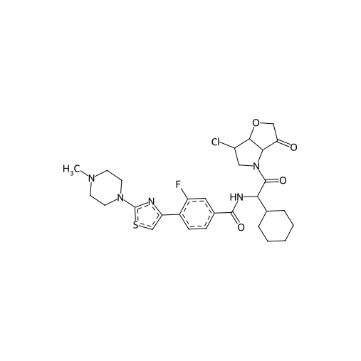 CN1CCN(c2nc(-c3ccc(C(=O)NC(C(=O)N4CC(Cl)C5OCC(=O)C54)C4CCCCC4)cc3F)cs2)CC1